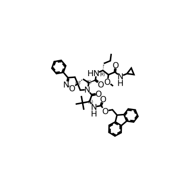 CCC[C@@H](NC(=O)[C@@H]1C[C@]2(CC(c3ccccc3)=NO2)CN1C(=O)[C@@H](NC(=O)OCC1c2ccccc2-c2ccccc21)C(C)(C)C)C(OC)C(=O)NC1CC1